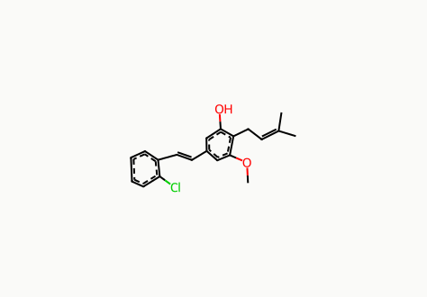 COc1cc(/C=C/c2ccccc2Cl)cc(O)c1CC=C(C)C